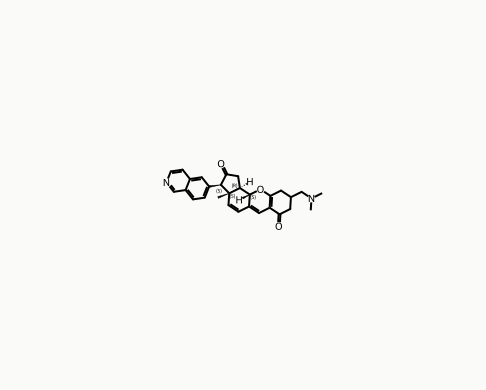 CN(C)CC1CC(=O)C2=C(C1)O[C@@H]1C(=C2)C=C[C@]2(C)[C@@H](c3ccc4cnccc4c3)C(=O)C[C@@H]12